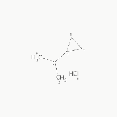 CC(C)C1CC1.Cl